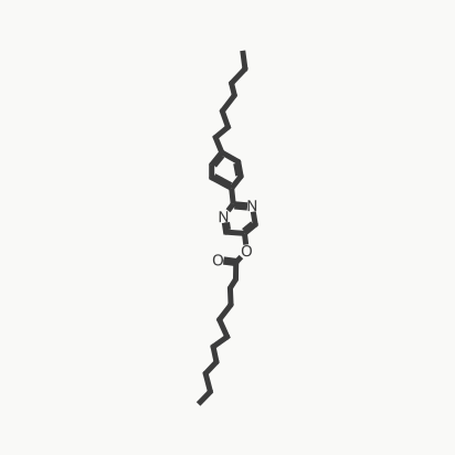 CCCCCCCCCCC(=O)Oc1cnc(-c2ccc(CCCCCCC)cc2)nc1